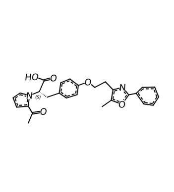 CC(=O)c1cccn1[C@@H](Cc1ccc(OCCc2nc(-c3ccccc3)oc2C)cc1)C(=O)O